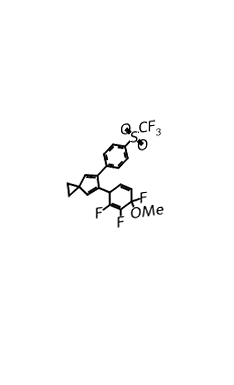 COC1(F)C=CC(C2=CC3(C=C2c2ccc(S(=O)(=O)C(F)(F)F)cc2)CC3)C(F)=C1F